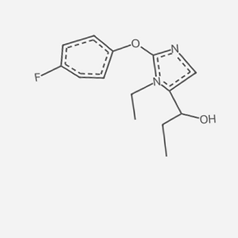 CCC(O)c1cnc(Oc2ccc(F)cc2)n1CC